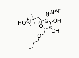 CCCCOCC1O[C@@H](CC(C)(C)[Si](C)(C)O)[C@@H](N=[N+]=[N-])C(O)[C@@H]1O